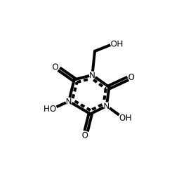 O=c1n(O)c(=O)n(CO)c(=O)n1O